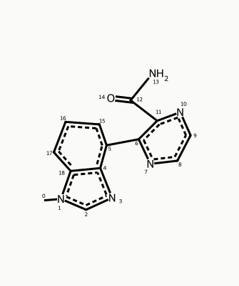 Cn1cnc2c(-c3nccnc3C(N)=O)cccc21